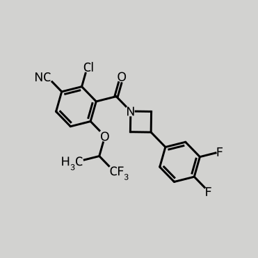 CC(Oc1ccc(C#N)c(Cl)c1C(=O)N1CC(c2ccc(F)c(F)c2)C1)C(F)(F)F